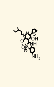 CCC(C)CCn1nc(-c2cccs2)c(O)c(C2=NP(=O)(OC)c3cc(N)ccc3N2)c1=O